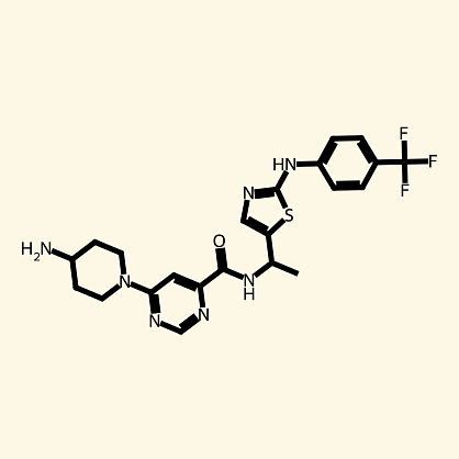 CC(NC(=O)c1cc(N2CCC(N)CC2)ncn1)c1cnc(Nc2ccc(C(F)(F)F)cc2)s1